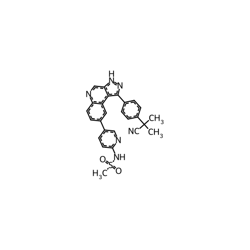 CC(C)(C#N)c1ccc(-c2n[nH]c3cnc4ccc(-c5ccc(NS(C)(=O)=O)nc5)cc4c23)cc1